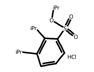 CC(C)OS(=O)(=O)c1cccc(C(C)C)c1C(C)C.Cl